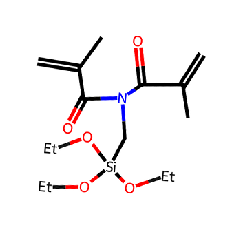 C=C(C)C(=O)N(C[Si](OCC)(OCC)OCC)C(=O)C(=C)C